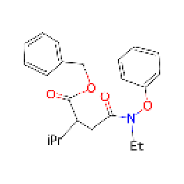 CCN(Oc1ccccc1)C(=O)CC(C(=O)OCc1ccccc1)C(C)C